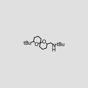 CC(C)(C)NCC1CCCC2(CCCC(C(C)(C)C)O2)O1